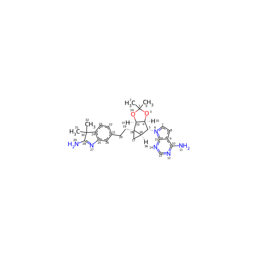 CC1(C)O[C@H]2[C@H](n3ccc4c(N)ncnc43)[C@H]3C[C@@]3(CCc3ccc4c(c3)N=C(N)C4(C)C)[C@H]2O1